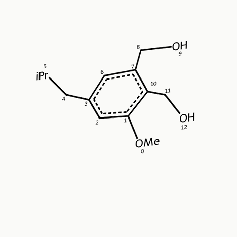 COc1cc(CC(C)C)cc(CO)c1CO